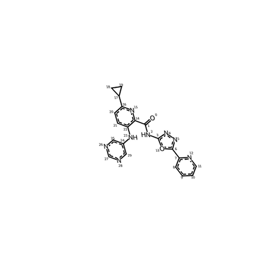 O=C(Nc1nnc(-c2ccccn2)o1)c1nc(C2CC2)ccc1Nc1cncnc1